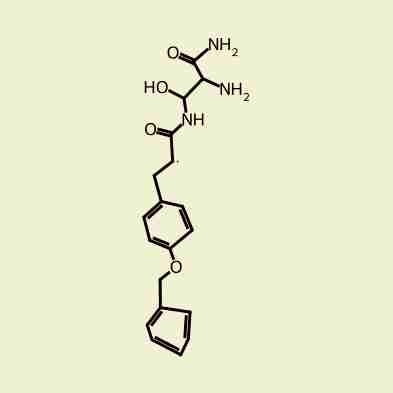 NC(=O)C(N)C(O)NC(=O)[CH]Cc1ccc(OCc2ccccc2)cc1